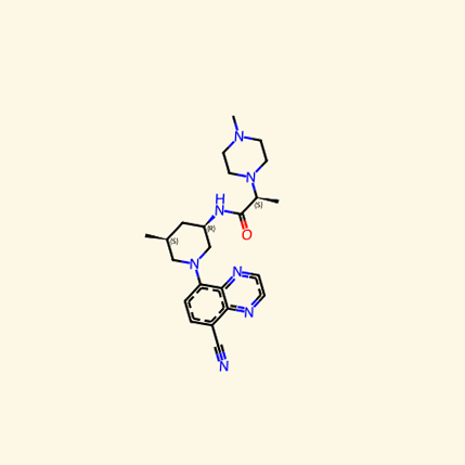 C[C@H]1C[C@@H](NC(=O)[C@H](C)N2CCN(C)CC2)CN(c2ccc(C#N)c3nccnc23)C1